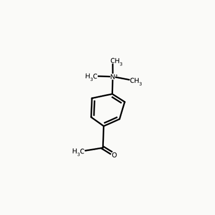 CC(=O)c1ccc([N+](C)(C)C)cc1